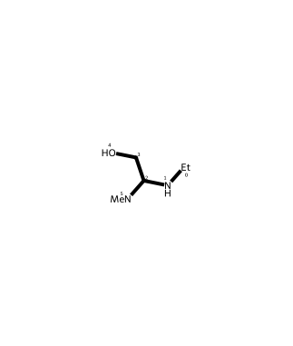 CCNC(CO)NC